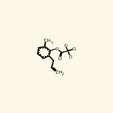 C=CCc1cccc(C)c1OC(=O)C(Cl)(Cl)Cl